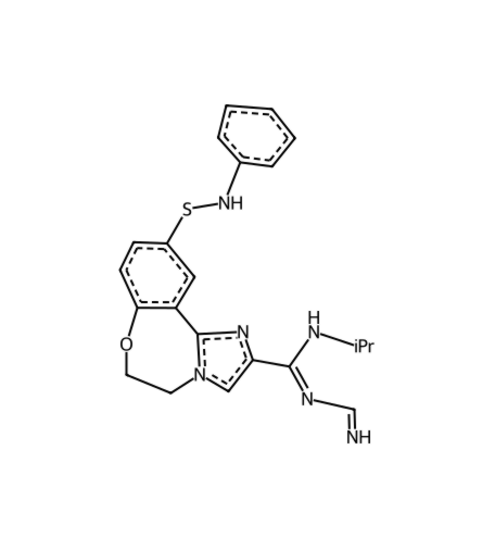 CC(C)N/C(=N\C=N)c1cn2c(n1)-c1cc(SNc3ccccc3)ccc1OCC2